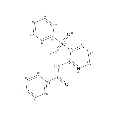 O=C(Nc1ncccc1S(=O)(=O)c1ccccc1)c1ccccc1